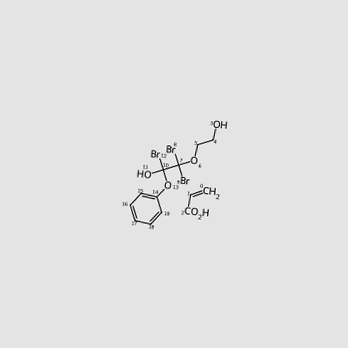 C=CC(=O)O.OCCOC(Br)(Br)C(O)(Br)Oc1ccccc1